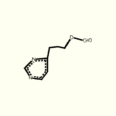 O=COCCc1ccncn1